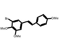 COc1ccc(C=Cc2cc(Br)c(OC)c(OC)c2)cc1